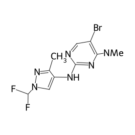 CNc1nc(Nc2cn(C(F)F)nc2C)ncc1Br